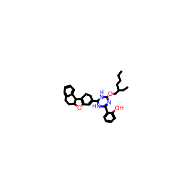 CCCCC(CC)COC1N=C(c2ccccc2O)NC(C2=CC3=C(CC2)C2c4ccccc4CCC2O3)N1